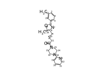 Cc1cccc(-c2nc(CSCC(=O)N3CCN(c4ccccn4)CC3)c(C)o2)c1